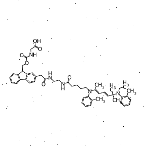 CCN(c1ccccc1C)C(C)(C)/C=C/C=C(\C)N(CCCCC(=O)NCCNC(=O)Cc1ccc2c(c1)C(COC(=O)NCC(=O)O)c1ccccc1-2)c1ccccc1C